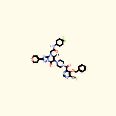 CCc1c(N2CCN(C(=O)c3ncnc(C)c3OCc3ccccc3)CC2)c(=O)n2nc(C3=CCOCC3)nc2n1CC(=O)NC1CCC(F)(F)CC1